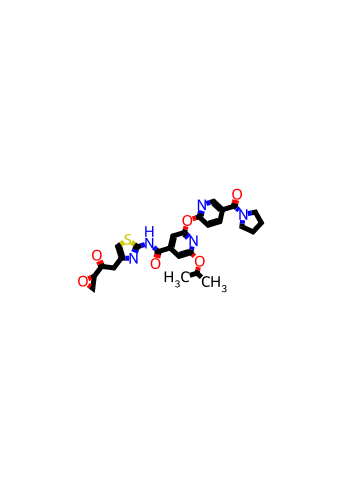 CC(C)Oc1cc(C(=O)Nc2nc(CC(=O)C3CO3)cs2)cc(Oc2ccc(C(=O)N3CCCC3)cn2)n1